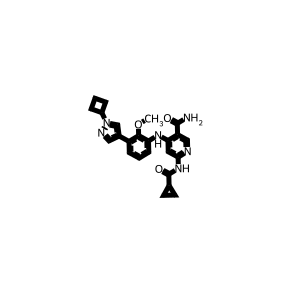 COc1c(Nc2cc(NC(=O)C3CC3)ncc2C(N)=O)cccc1-c1cnn(C2CCC2)c1